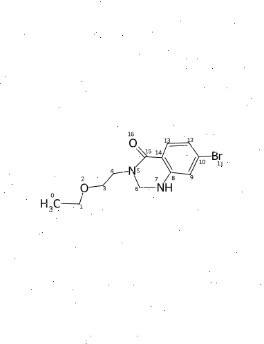 CCOCCN1CNc2cc(Br)ccc2C1=O